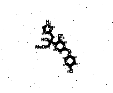 COCC(O)(Cc1nc[nH]n1)c1ccc(Oc2ccc(Cl)cc2)cc1C(F)(F)F